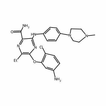 CCc1nc(C(N)=O)c(Nc2ccc(N3CCN(C)CC3)cc2)nc1Oc1cc(N)ccc1Cl